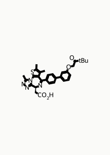 Cc1sc2c(c1C)C(c1ccc(-c3cccc(OCC(=O)C(C)(C)C)c3)cc1)=N[C@@H](CC(=O)O)c1nnc(C)n1-2